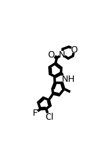 Cc1cc(-c2ccc(F)c(Cl)c2)cc2c1[nH]c1cc(C(=O)N3CCOCC3)ccc12